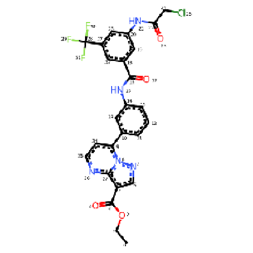 CCOC(=O)c1cnn2c(-c3cccc(NC(=O)c4cc(NC(=O)CCl)cc(C(F)(F)F)c4)c3)ccnc12